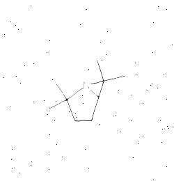 CC1(C)CCC2N1C2(C)C